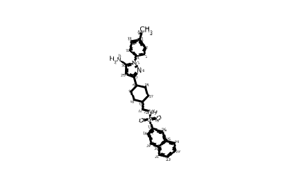 Cc1ccc(-n2nc(C3CCC(CNS(=O)(=O)c4ccc5ccccc5c4)CC3)cc2N)cc1